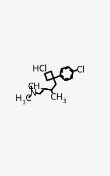 CC(CCN(C)C)CC1(c2ccc(Cl)cc2)CCC1.Cl